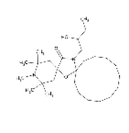 CCC(O)CN1C(=O)C2(CC(C)(C)N(C)C(C)(C)C2)OC12CCCCCCCCCCC2